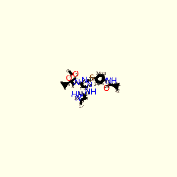 CC(=O)OC1(C2CC2)CN(c2cc(Nc3cc(C)n[nH]3)nc(Sc3ccc(NC(=O)C4CC4)cc3)n2)C1